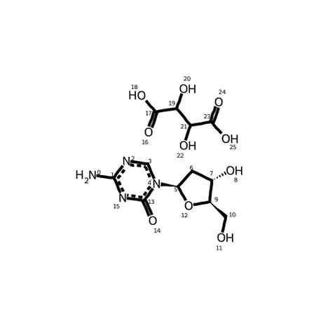 Nc1ncn([C@H]2C[C@H](O)[C@@H](CO)O2)c(=O)n1.O=C(O)C(O)C(O)C(=O)O